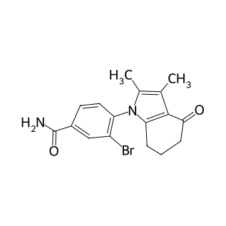 Cc1c2c(n(-c3ccc(C(N)=O)cc3Br)c1C)CCCC2=O